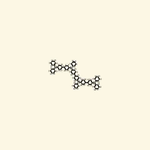 c1ccc(N(c2ccc(-c3ccc(N(c4ccccc4)c4ccccc4)cc3)cc2)c2ccc(-c3ccc(N(c4ccccc4)c4ccc(-c5ccc(N(c6ccccc6)c6ccccc6)cc5)cc4)cc3)cc2)cc#1